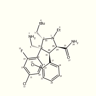 CCN1[C@@H](CC(C)(C)C)[C@](CN)(c2ccc(Cl)cc2F)[C@H](c2ccccc2Cl)[C@@H]1C(N)=O